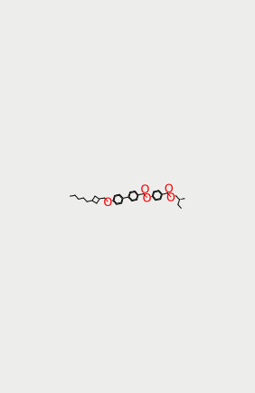 CCCCCC1CC(COc2ccc(-c3ccc(C(=O)Oc4ccc(C(=O)OC[C@@H](C)CC)cc4)cc3)cc2)C1